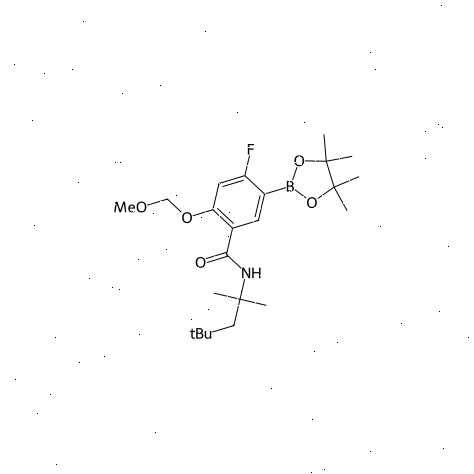 COCOc1cc(F)c(B2OC(C)(C)C(C)(C)O2)cc1C(=O)NC(C)(C)CC(C)(C)C